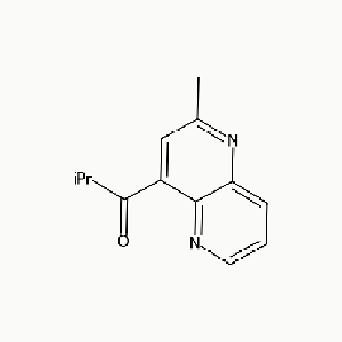 Cc1cc(C(=O)C(C)C)c2ncccc2n1